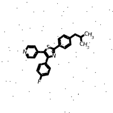 CC(C)Cc1ccc(-c2nc(-c3ccc(F)cc3)c(-c3ccncc3)s2)cc1